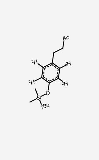 [2H]c1c([2H])c(O[Si](C)(C)C(C)(C)C)c([2H])c([2H])c1CCC(C)=O